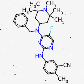 Cc1ccc(Nc2ncc(F)c(N(Cc3ccccc3)C3CC(C)(C)N(C)C(C)(C)C3)n2)cc1C#N